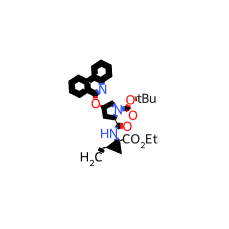 C=C[C@H]1C[C@@]1(NC(=O)[C@@H]1C[C@@H](Oc2nc3ccccc3c3ccccc23)CN1C(=O)OC(C)(C)C)C(=O)OCC